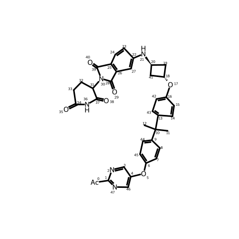 CC(=O)c1ncc(Oc2ccc(C(C)(C)c3ccc(O[C@H]4C[C@H](Nc5ccc6c(c5)C(=O)N(C5CCC(=O)NC5=O)C6=O)C4)cc3)cc2)cn1